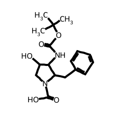 CC(C)(C)OC(=O)NC1C(O)CN(C(=O)O)C1Cc1ccccc1